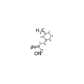 CC1CCCC(CCC(CN=O)C(C)C)C1